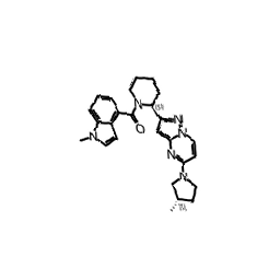 C[C@H]1CCN(c2ccn3nc([C@@H]4CCCCN4C(=O)c4cccc5c4ccn5C)cc3n2)C1